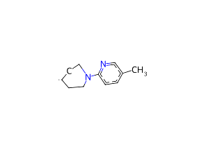 Cc1ccc(N2CC[CH]CC2)nc1